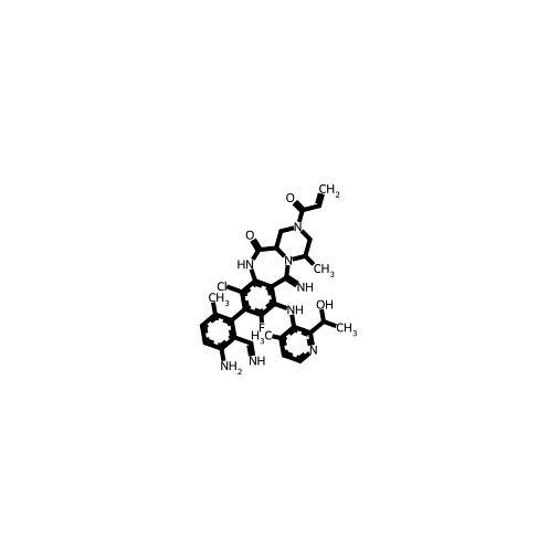 C=CC(=O)N1CC(C)N2C(=N)c3c(Nc4c(C)ccnc4C(C)O)c(F)c(-c4c(C)ccc(N)c4C=N)c(Cl)c3NC(=O)C2C1